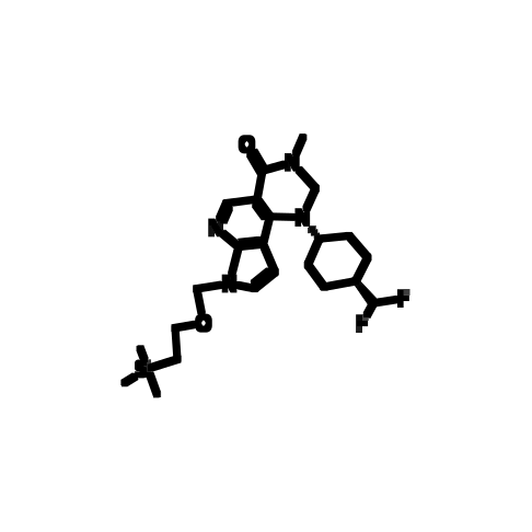 CN1CN([C@H]2CC[C@H](C(F)F)CC2)c2c(cnc3c2ccn3COCC[Si](C)(C)C)C1=O